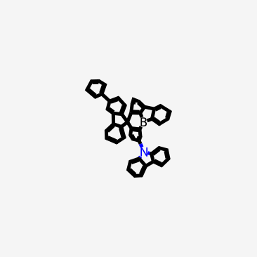 c1ccc(-c2ccc3c(c2)-c2ccccc2C32c3ccc(-n4c5ccccc5c5ccccc54)cc3B3c4ccccc4-c4cccc2c43)cc1